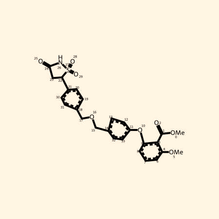 COC(=O)c1c(OC)cccc1Oc1ccc(COCc2ccc(C3CC(=O)NS3(=O)=O)cc2)cc1